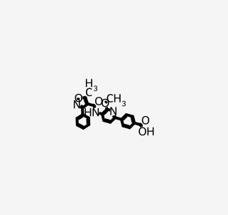 COc1nc(-c2ccc(C(=O)O)cc2)ccc1NC(=O)c1c(-c2ccccc2)noc1C